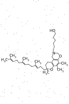 CC(C)=CCC/C(C)=C/CC/C(C)=C/CC[C@]1(C)CCc2c3c(c(C)c(C)c2O1)OCN(CCCCCCO)C3